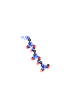 C[C@H]1COCCN1c1nc(N2CCOC3(CCC3)C2)nc2nc(-c3cccc(C(=O)N(C)C4CCC5(C4)CN(c4nc(N6CCOC[C@@H]6C)c6ccc(-c7cccc(C(=O)N(C)C8CC89CN(c8nc(N%10CCOC[C@@H]%10C)c%10ccc(-c%11ccc%12cnc(N)nc%12c%11)nc%10n8)CCO9)c7)nc6n4)CCO5)c3)ccc12